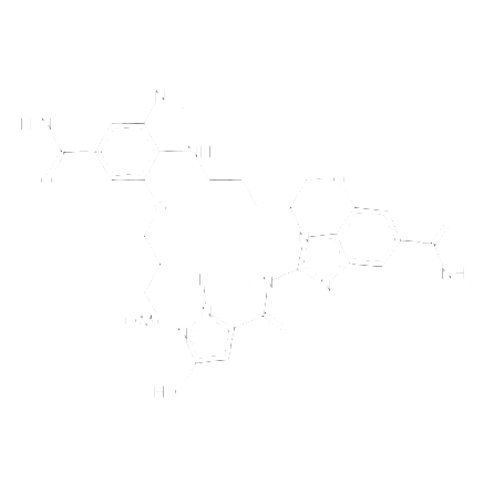 CCn1nc(C)cc1C(=O)Nc1nc2cc(C(N)=O)cc3c2n1[C@H](CCCNc1c(N)cc(C(N)=O)cc1OCCCOC)CO3